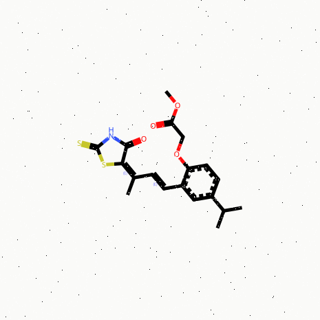 COC(=O)COc1ccc(C(C)C)cc1/C=C/C(C)=C1/SC(=S)NC1=O